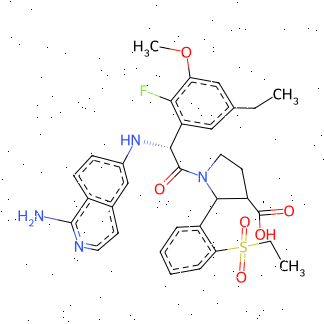 CCc1cc(OC)c(F)c([C@@H](Nc2ccc3c(N)nccc3c2)C(=O)N2CCC(C(=O)O)C2c2ccccc2S(=O)(=O)CC)c1